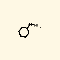 N[N]C1CCCCC1